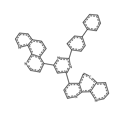 c1ccc(-c2ccc(-c3nc(-c4ccnc5c4ccc4cccnc45)cc(-c4ccnc5c4ccc4cccnc45)n3)cc2)cc1